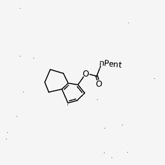 CCCCCC(=O)Oc1cc[c]c2c1CCCC2